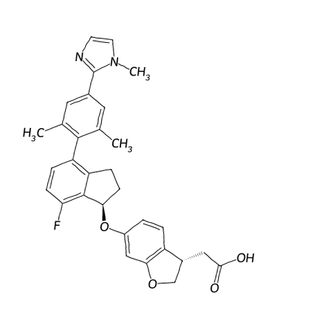 Cc1cc(-c2nccn2C)cc(C)c1-c1ccc(F)c2c1CC[C@H]2Oc1ccc2c(c1)OC[C@H]2CC(=O)O